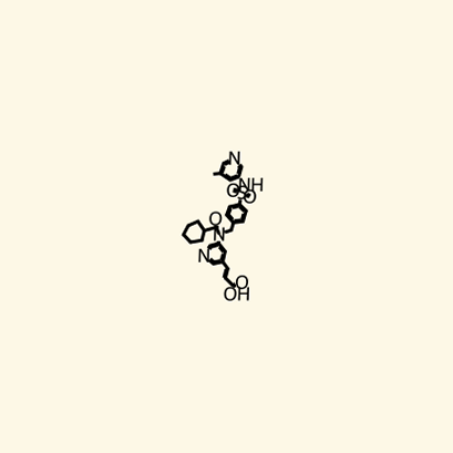 Cc1cncc(NS(=O)(=O)c2ccc(CN(C(=O)C3CCCCC3)c3cncc(C=CC(=O)O)c3)cc2)c1